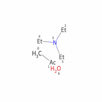 CC(C)=O.CCN(CC)CC.O